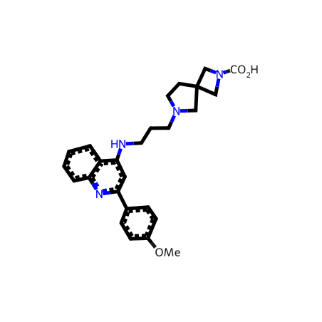 COc1ccc(-c2cc(NCCCN3CCC4(C3)CN(C(=O)O)C4)c3ccccc3n2)cc1